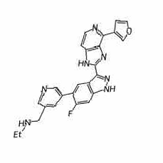 CCNCc1cncc(-c2cc3c(-c4nc5c(-c6ccoc6)nccc5[nH]4)n[nH]c3cc2F)c1